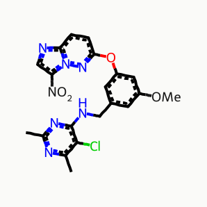 COc1cc(CNc2nc(C)nc(C)c2Cl)cc(Oc2ccc3ncc([N+](=O)[O-])n3n2)c1